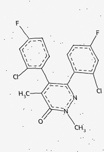 Cc1c(-c2ccc(F)cc2Cl)c(-c2ccc(F)cc2Cl)nn(C)c1=O